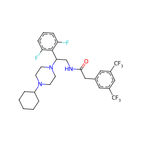 O=C(Cc1cc(C(F)(F)F)cc(C(F)(F)F)c1)NCC(c1c(F)cccc1F)N1CCN(C2CCCCC2)CC1